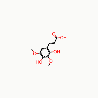 COc1cc(C=CC(=O)O)c(O)c(OC)c1O